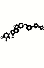 O=C1CCC(N2Cc3c(ccc4c3OCC43CCN(Cc4cccc(-c5cnn(C6COC6)c5)c4)CC3)C2=O)C(=O)N1